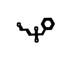 O=[C]C=CS(=O)(=O)Cc1ccccc1